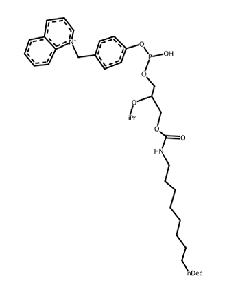 CCCCCCCCCCCCCCCCCCNC(=O)OCC(COP(O)Oc1ccc(C[n+]2cccc3ccccc32)cc1)OC(C)C